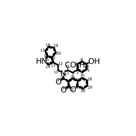 O=C(O)[C@H](Cc1ccc(O)cc1)N(CCc1c[nH]c2ccccc12)C(=O)c1cc2ccccc2oc1=O